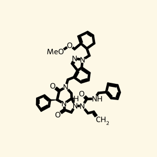 C=CCN(C(=O)NCc1ccccc1)N1CC(=O)N2[C@@H](c3ccccc3)C(=O)N(Cc3cccc4c3cnn4CC3CC=CC=C3COOC)C[C@@H]21